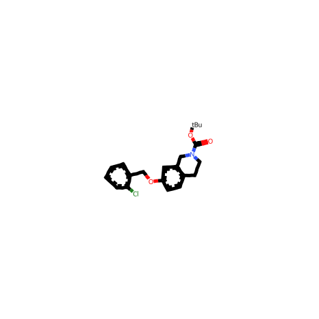 CC(C)(C)OC(=O)N1CCc2ccc(OCc3ccccc3Cl)cc2C1